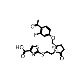 CC(=O)c1ccc(OC[C@H]2CCC(=O)N2CCSc2nc(C(=O)O)cs2)cc1F